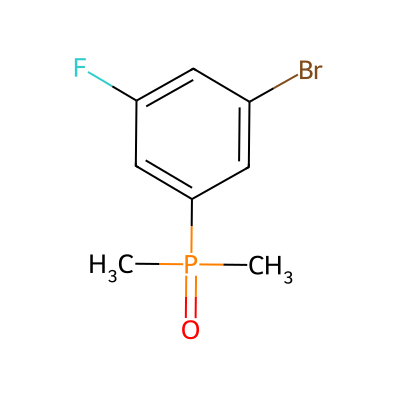 CP(C)(=O)c1cc(F)cc(Br)c1